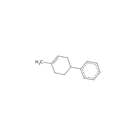 CC1=CCC(c2ccccc2)CC1